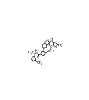 Cc1nn(C2CC2)cc1Nc1ncc2ccc(-c3cc(C(=O)N[C@H](C)c4cccc(C(F)(F)F)c4)ccc3C3CC3)cc2n1